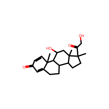 CC12C=CC(=O)C=C1CCC1C2C(O)CC2(C)C1CCC2(C)C(=O)CO